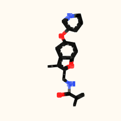 C=C(C)C(=O)NCc1oc2ccc(Oc3cccnc3)cc2c1C